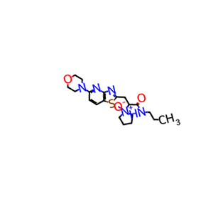 CCCNC(=O)C(Cc1nc2nc(N3CCOCC3)ccc2s1)[N+]1([O-])CCCC1